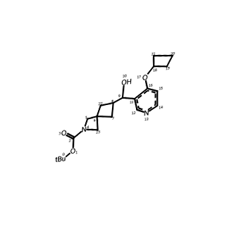 CC(C)(C)OC(=O)N1CC2(CC(C(O)c3cnccc3OC3CCC3)C2)C1